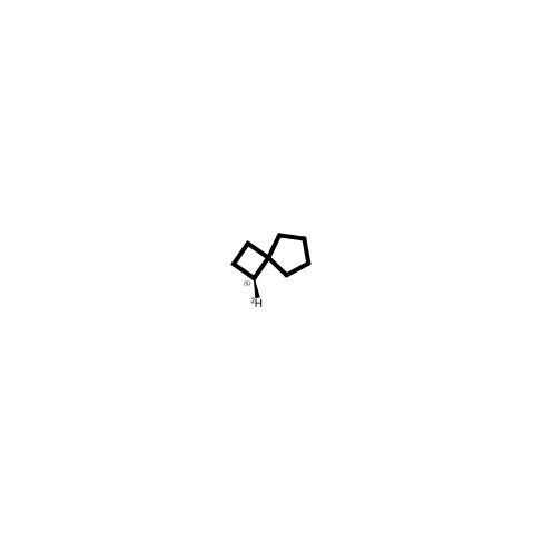 [2H][C@H]1CCC12CCCC2